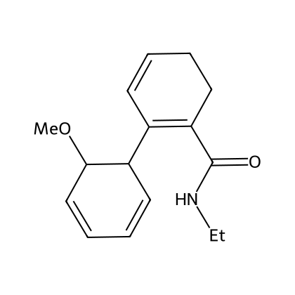 CCNC(=O)C1=C(C2C=CC=CC2OC)C=CCC1